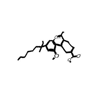 C=C(C)C1CCC(C(=O)OC)CC1c1c(O)cc(C(C)(C)CCCCCC)cc1OC